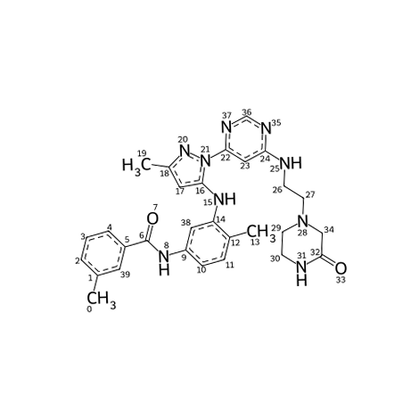 Cc1cccc(C(=O)Nc2ccc(C)c(Nc3cc(C)nn3-c3cc(NCCN4CCNC(=O)C4)ncn3)c2)c1